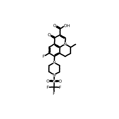 CC1CCc2c(N3CCN(S(=O)(=O)C(F)(F)F)CC3)c(F)cc3c(=O)c(C(=O)O)cn1c23